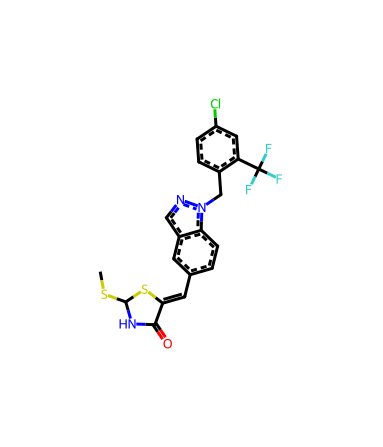 CSC1NC(=O)C(=Cc2ccc3c(cnn3Cc3ccc(Cl)cc3C(F)(F)F)c2)S1